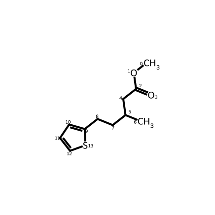 COC(=O)CC(C)CCc1cccs1